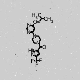 CC(C)COc1cc(N2CCN(C(=O)c3cc(C(F)(F)F)n[nH]3)CC2)ncn1